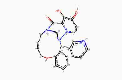 O=C1c2c(O)c(=O)ccn2N2CN1C/C=C\COc1ccccc1[C@H]2c1cccnc1